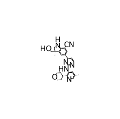 Cc1cnc(C2CCOCC2)c(Nc2nccc(-c3cc(C#N)c4c(c3)[C@@](C)(CO)CN4)n2)c1